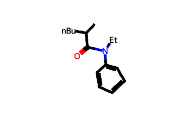 CCCCC(C)C(=O)N(CC)c1ccccc1